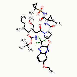 CCC[C@@H](C)C[C@@H](COC)[C@H](NC(=O)OC(C)(C)C)C(=O)N1C[C@H](Oc2nc3cc(OCC)ccc3nc2C(F)(F)F)C[C@H]1C(=O)N[C@]1(C(=O)NS(=O)(=O)C2(C)CC2)C[C@H]1C